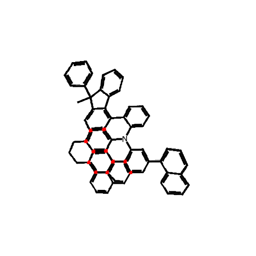 CC1C=CC=CC1c1ccc(-c2cccc3ccccc23)cc1N(c1ccccc1-c1cccc2c1-c1ccccc1C2(C)c1ccccc1)c1ccccc1-c1cccc2cccc(C3CCCCC3)c12